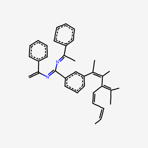 C=C(/N=C(\N=C(/C)c1ccccc1)c1cccc(/C(C)=C(/C)C(/C=C\C=C/C)=C(C)C)c1)c1ccccc1